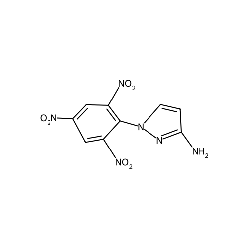 Nc1ccn(-c2c([N+](=O)[O-])cc([N+](=O)[O-])cc2[N+](=O)[O-])n1